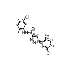 Cc1ccc(Cl)cc1NC(=O)c1cn(-c2cc(O)ccc2F)nn1